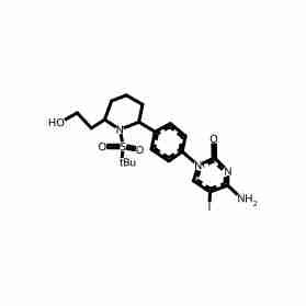 CC(C)(C)S(=O)(=O)N1C(CCO)CCCC1c1ccc(-n2cc(I)c(N)nc2=O)cc1